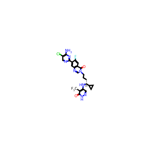 Nc1nc(-c2cc3ncn(CCC[C@@H](Nc4cn[nH]c(=O)c4C(F)(F)F)C4CC4)c(=O)c3cc2F)ncc1Cl